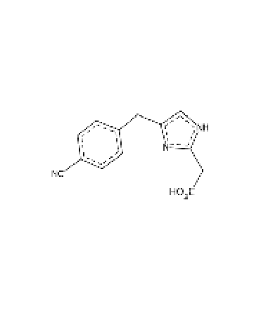 N#Cc1ccc(Cc2c[nH]c(CC(=O)O)n2)cc1